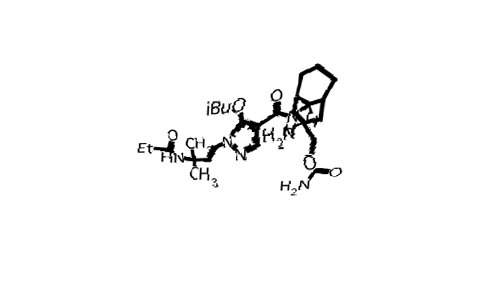 CCC(=O)NC(C)(C)/C=C/n1ncc(C(=O)N[C@H]2C3CCCC2C[C@@](N)(COC(N)=O)C3)c1OCC(C)C